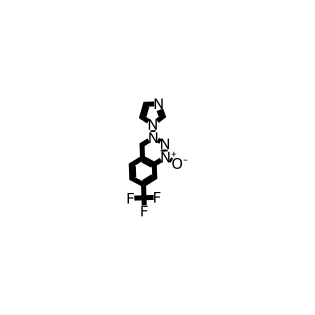 [O-][N+]1=NN(n2ccnc2)Cc2ccc(C(F)(F)F)cc21